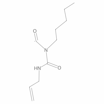 C=CCNC(=O)N([C]=O)CCCCC